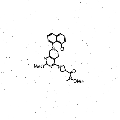 COc1nc2c(c(N3CC(C(=O)N(C)OC)C3)n1)CCN(c1cccc3cccc(Cl)c13)C2